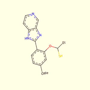 CCC(S)Oc1cc(OC)ccc1-c1nc2cnccc2[nH]1